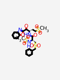 CS(=O)(=O)CC[C@H](NC(=O)[C@H](CS(=O)(=O)Cc1ccccc1)NS(C)(=O)=O)C(=O)c1nc2ccccc2o1